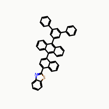 c1ccc(-c2cc(-c3ccccc3)cc(-c3c4ccccc4c(-c4ccc(-c5nc6ccccc6s5)c5ccccc45)c4ccccc34)c2)cc1